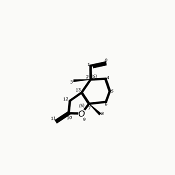 C=C[C@]1(C)CCC[C@]2(C)OC(=C)CC12